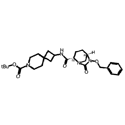 CC(C)(C)OC(=O)N1CCC2(CC1)CC(NC(=O)[C@@H]1CC[C@@H]3CN1C(=O)N3OCc1ccccc1)C2